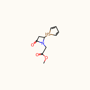 COC(=O)CN1C(=O)CC1[SH]1C=CC=C1